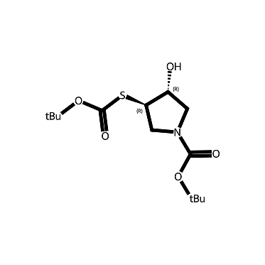 CC(C)(C)OC(=O)S[C@@H]1CN(C(=O)OC(C)(C)C)C[C@H]1O